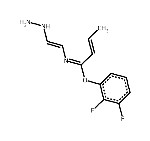 C/C=C/C(=N\C=C\NN)Oc1cccc(F)c1F